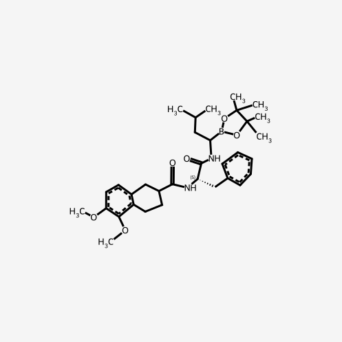 COc1ccc2c(c1OC)CCC(C(=O)N[C@@H](Cc1ccccc1)C(=O)NC(CC(C)C)B1OC(C)(C)C(C)(C)O1)C2